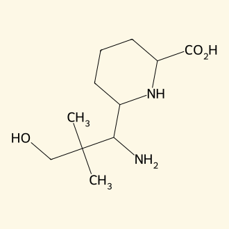 CC(C)(CO)C(N)C1CCCC(C(=O)O)N1